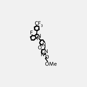 COCCOc1nccc(Cn2ccc(-n3nc(-c4ccc(C(F)(F)F)cc4)c4c(F)cccc43)cc2=O)n1